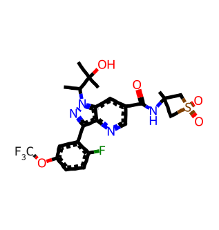 CC(n1nc(-c2cc(OC(F)(F)F)ccc2F)c2ncc(C(=O)NC3(C)CS(=O)(=O)C3)cc21)C(C)(C)O